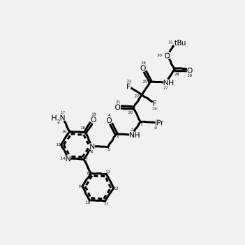 CC(C)C(NC(=O)Cn1c(-c2ccccc2)ncc(N)c1=O)C(=O)C(F)(F)C(=O)NC(=O)OC(C)(C)C